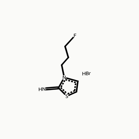 Br.N=c1sccn1CCCF